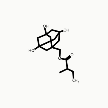 CCC(I)C(=O)OCC12CC3(O)CC(O)(CC(O)(C3)C1)C2